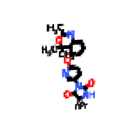 CCC[C@H]1NC(=O)N(c2ccc(Oc3cccc4c3C(C)(C)OC(C)=N4)nc2)C1=O